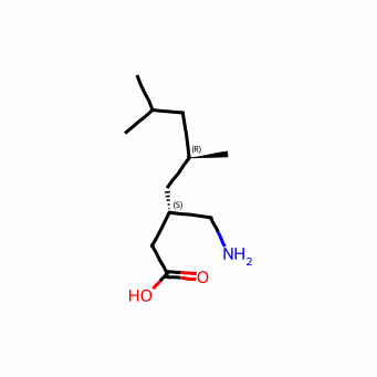 CC(C)C[C@@H](C)C[C@H](CN)CC(=O)O